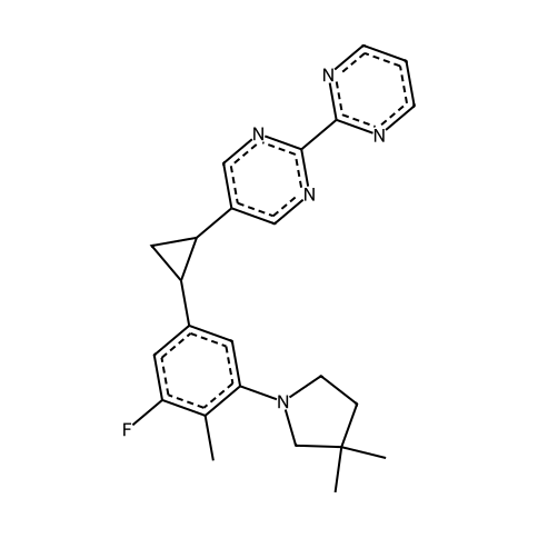 Cc1c(F)cc(C2CC2c2cnc(-c3ncccn3)nc2)cc1N1CCC(C)(C)C1